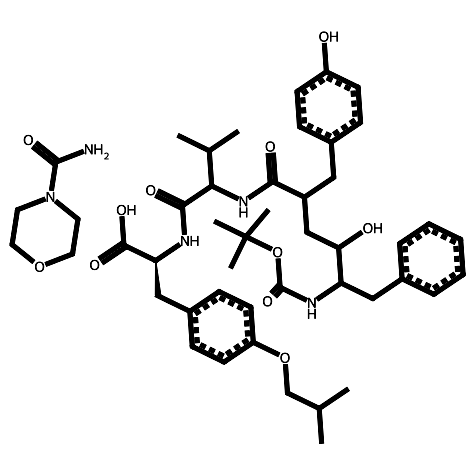 CC(C)COc1ccc(C[C@H](NC(=O)C(NC(=O)C(Cc2ccc(O)cc2)CC(O)C(Cc2ccccc2)NC(=O)OC(C)(C)C)C(C)C)C(=O)O)cc1.NC(=O)N1CCOCC1